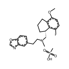 COc1ccc(F)c2c1CCC[C@H]2CN(C)CCc1ccc2ocnc2c1.CS(=O)(=O)O